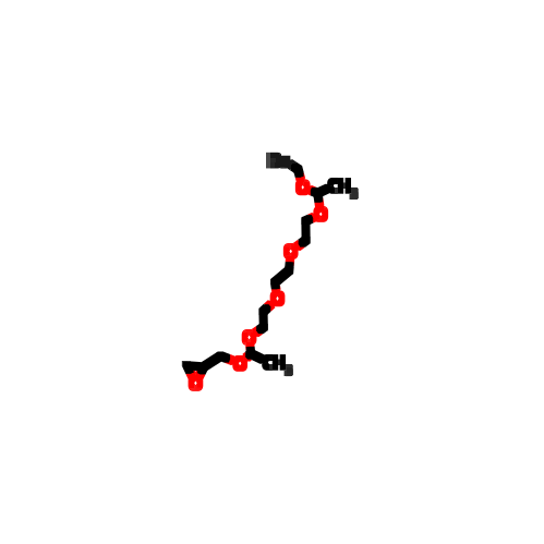 CCC(C)COC(C)OCCOCCOCCOC(C)OCC1CO1